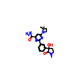 C[C@H]1CCN1c1cc(C(N)=O)nc(-c2cccc(C3(O)CCN(C)C3=O)c2)n1